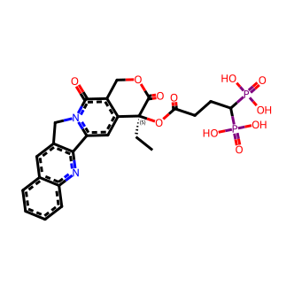 CC[C@@]1(OC(=O)CCC(P(=O)(O)O)P(=O)(O)O)C(=O)OCc2c1cc1n(c2=O)Cc2cc3ccccc3nc2-1